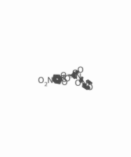 O=C(CN1C[C@@H](COS(=O)(=O)c2ccc([N+](=O)[O-])cc2)OC1=O)N1CCOCC1